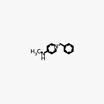 CNc1cc[n+](Cc2ccccc2)cc1